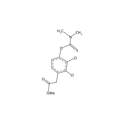 COC(=O)Cc1ccc(OC(=S)N(C)C)c(Cl)c1Cl